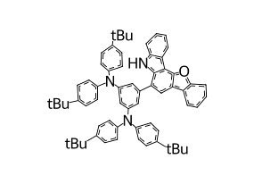 CC(C)(C)c1ccc(N(c2ccc(C(C)(C)C)cc2)c2cc(-c3cc4c5ccccc5oc4c4c3[nH]c3ccccc34)cc(N(c3ccc(C(C)(C)C)cc3)c3ccc(C(C)(C)C)cc3)c2)cc1